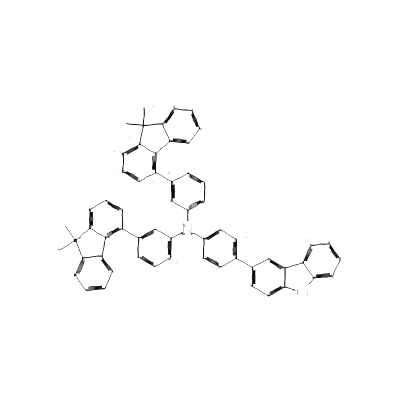 CC1(C)c2ccccc2-c2c(-c3cccc(N(c4ccc(-c5ccc6oc7ccccc7c6c5)cc4)c4cccc(-c5cccc6c5-c5ccccc5C6(C)C)c4)c3)cccc21